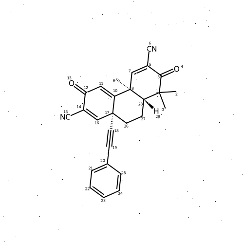 CC1(C)C(=O)C(C#N)=C[C@]2(C)C3=CC(=O)C(C#N)=C[C@]3(C#Cc3ccccc3)CC[C@@H]12